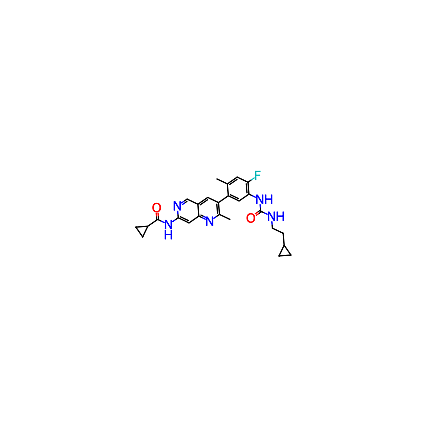 Cc1cc(F)c(NC(=O)NCCC2CC2)cc1-c1cc2cnc(NC(=O)C3CC3)cc2nc1C